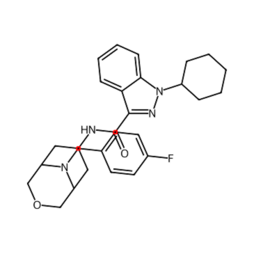 O=C(NC1CC2COCC(C1)N2Cc1ccc(F)cc1)c1nn(C2CCCCC2)c2ccccc12